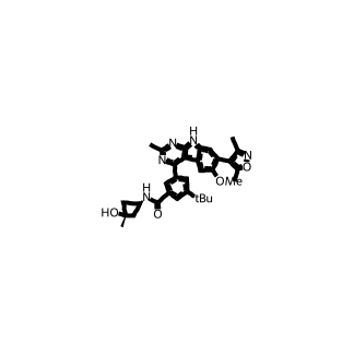 COc1cc2c(cc1-c1c(C)noc1C)[nH]c1nc(C)nc(-c3cc(C(=O)N[C@H]4C[C@@](C)(O)C4)cc(C(C)(C)C)c3)c12